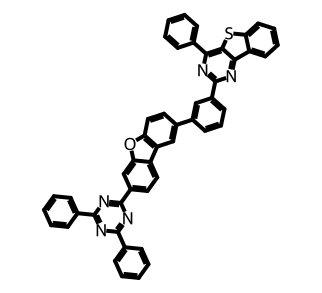 c1ccc(-c2nc(-c3ccccc3)nc(-c3ccc4c(c3)oc3ccc(-c5cccc(-c6nc(-c7ccccc7)c7sc8ccccc8c7n6)c5)cc34)n2)cc1